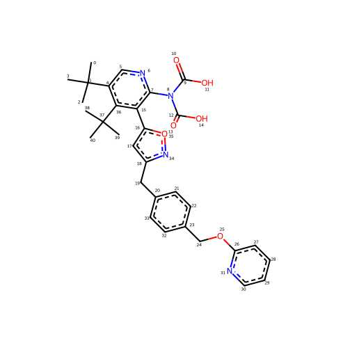 CC(C)(C)c1cnc(N(C(=O)O)C(=O)O)c(-c2cc(Cc3ccc(COc4ccccn4)cc3)no2)c1C(C)(C)C